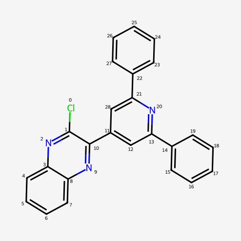 Clc1nc2ccccc2nc1-c1cc(-c2ccccc2)nc(-c2ccccc2)c1